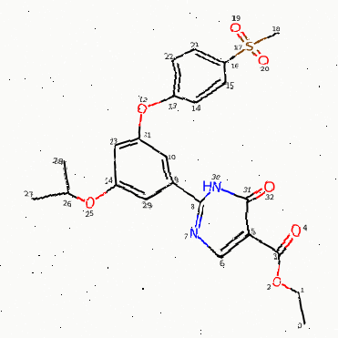 CCOC(=O)c1cnc(-c2cc(Oc3ccc(S(C)(=O)=O)cc3)cc(OC(C)C)c2)[nH]c1=O